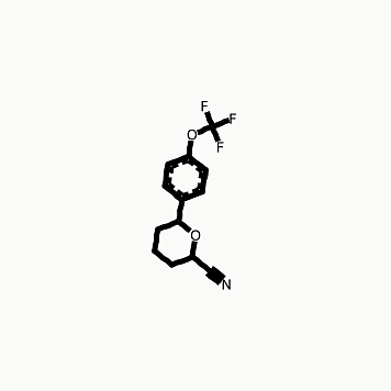 N#CC1CCCC(c2ccc(OC(F)(F)F)cc2)O1